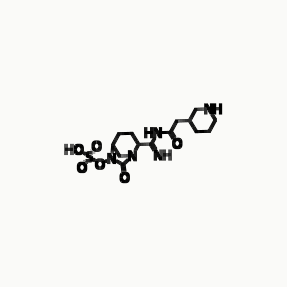 N=C(NC(=O)CC1CCCNC1)C1CCC2CN1C(=O)N2OS(=O)(=O)O